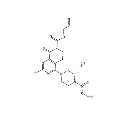 C=CCOC(=O)C1CCc2c(nc(Cl)nc2N2CCN(C(=O)OC(C)(C)C)[C@@H](CC#N)C2)C1=O